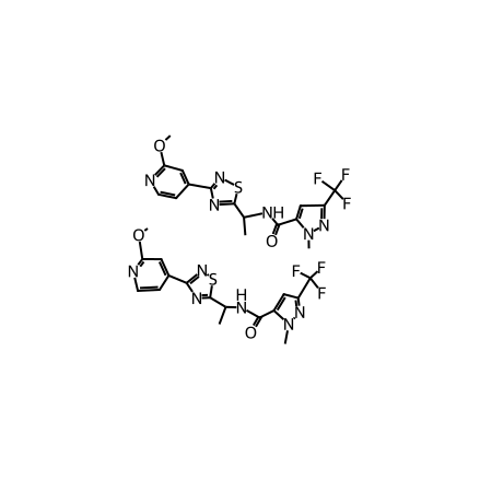 COc1cc(-c2nsc(C(C)NC(=O)c3cc(C(F)(F)F)nn3C)n2)ccn1.COc1cc(-c2nsc(C(C)NC(=O)c3cc(C(F)(F)F)nn3C)n2)ccn1